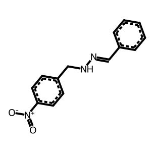 O=[N+]([O-])c1ccc(CNN=Cc2ccccc2)cc1